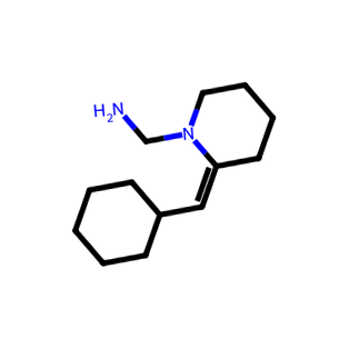 NCN1CCCC/C1=C/C1CCCCC1